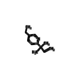 C=CC(C)(C)c1ccc(CC)cn1